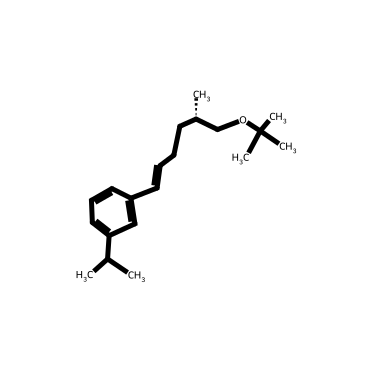 CC(C)c1cccc(/C=C/CC[C@H](C)COC(C)(C)C)c1